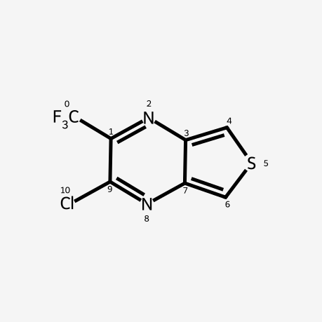 FC(F)(F)c1nc2cscc2nc1Cl